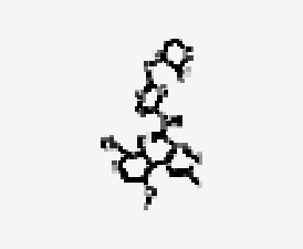 COc1cnc(Cl)c(F)c1-c1cc(C)ncc1C(=O)Nc1nnc(O[C@H]2CCO[C@H]2C)s1